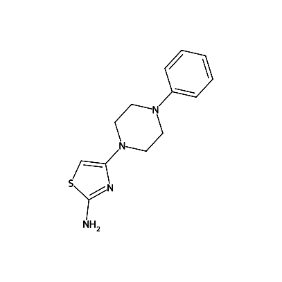 Nc1nc(N2CCN(c3ccccc3)CC2)cs1